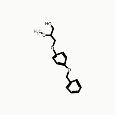 COC(CO)COc1ccc(OCc2ccccc2)cc1